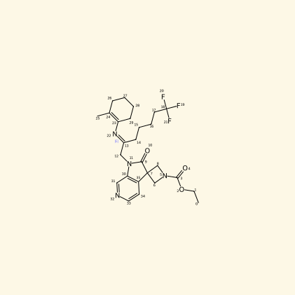 CCOC(=O)N1CC2(C1)C(=O)N(C/C(CCCCC(F)(F)F)=N/C1=C(C)CCCC1)c1cnccc12